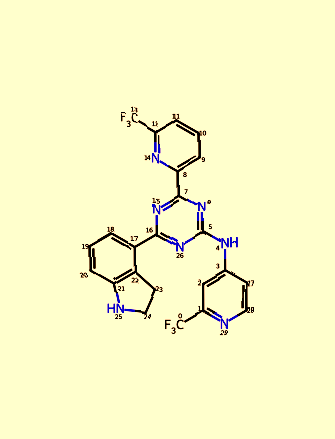 FC(F)(F)c1cc(Nc2nc(-c3cccc(C(F)(F)F)n3)nc(-c3cccc4c3CCN4)n2)ccn1